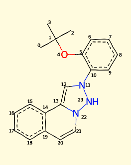 CC(C)(C)Oc1ccccc1N1C=C2c3ccccc3C=CN2N1